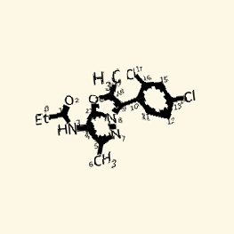 CCC(=O)Nc1c(C)nn2c(-c3ccc(Cl)cc3Cl)c(C)oc12